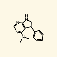 CN(C)c1ncnc2c1C(c1ccccc1)CN2